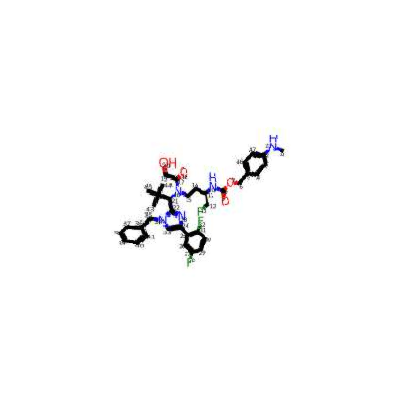 CNc1ccc(COC(=O)N[C@@H](CF)CCN(C(=O)CO)[C@@H](c2nc(-c3cc(F)ccc3F)cn2Cc2ccccc2)C(C)(C)C)cc1